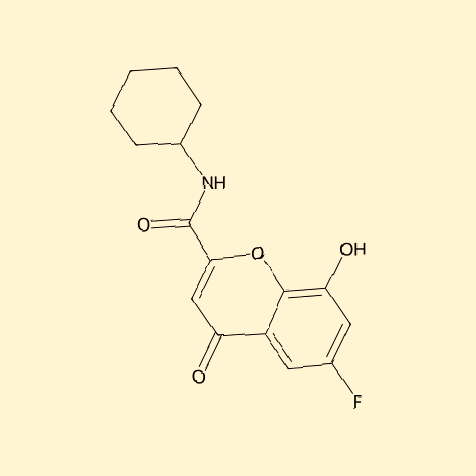 O=C(NC1CCCCC1)c1cc(=O)c2cc(F)cc(O)c2o1